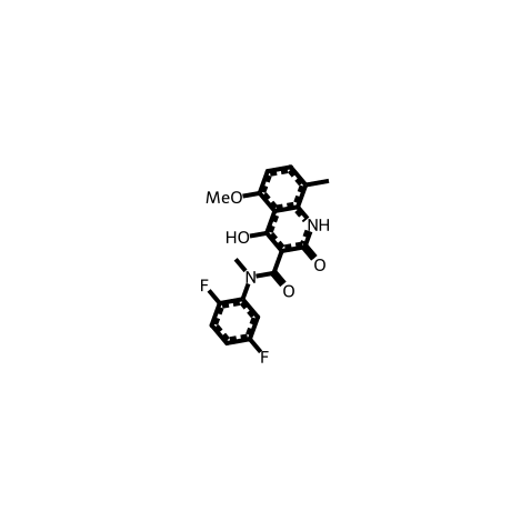 COc1ccc(C)c2[nH]c(=O)c(C(=O)N(C)c3cc(F)ccc3F)c(O)c12